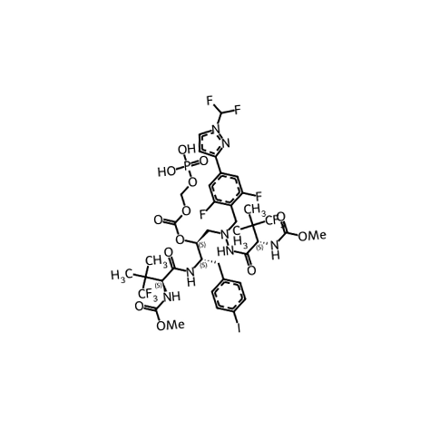 COC(=O)N[C@H](C(=O)N[C@@H](Cc1ccc(I)cc1)[C@H](CN(Cc1c(F)cc(-c2ccn(C(F)F)n2)cc1F)NC(=O)[C@@H](NC(=O)OC)C(C)(C)C(F)(F)F)OC(=O)OCOP(=O)(O)O)C(C)(C)C(F)(F)F